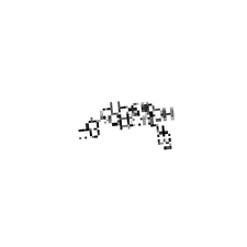 C[C@]12CC[C@H](N(CCN3CCOCC3)C(=O)O)C[C@@]1(O)CC[C@@H]1[C@@H]2CC[C@]2(C)[C@@H](c3ccc(=O)oc3)CC[C@]12O